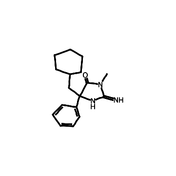 CN1C(=N)NC(CC2CCCCC2)(c2ccccc2)C1=O